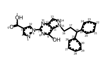 O=C(O)c1cnn(-c2nc(O)c3c(cnn3CCC(c3ccccc3)c3ccccc3)n2)c1